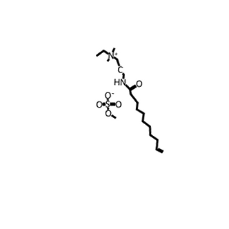 C=CCCCCCCCCC(=O)NCCC[N+](C)(C)CC.COS(=O)(=O)[O-]